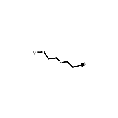 COCC[N]CCC#N